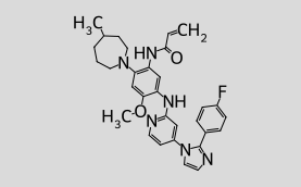 C=CC(=O)Nc1cc(Nc2cc(-n3ccnc3-c3ccc(F)cc3)ccn2)c(OC)cc1N1CCCC(C)CC1